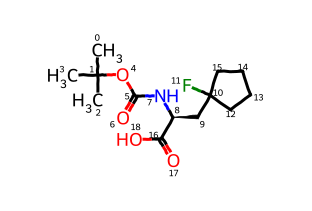 CC(C)(C)OC(=O)N[C@@H](CC1(F)CCCC1)C(=O)O